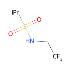 CC(C)S(=O)(=O)NCC(F)(F)F